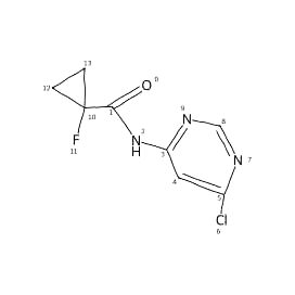 O=C(Nc1cc(Cl)ncn1)C1(F)CC1